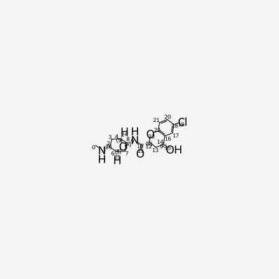 CN[C@@H]1C[C@@H]2O[C@H]1C[C@H]2NC(=O)[C@H]1C[C@@H](O)c2cc(Cl)ccc2O1